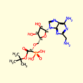 CC(C)(C)OC(=O)[C@H](OC[C@H]1O[C@@H](n2cnc3c(N)nc(CN)nc32)[C@H](O)[C@@H]1O)P(=O)(O)O